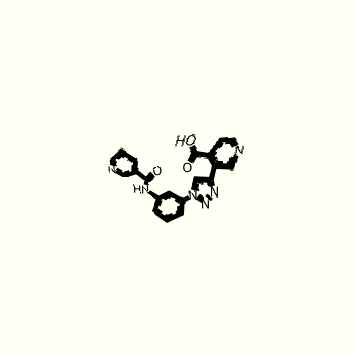 O=C(Nc1cccc(-n2cc(-c3cnccc3C(=O)O)nn2)c1)c1cccnc1